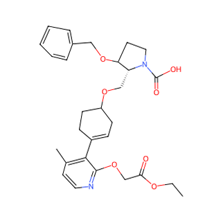 CCOC(=O)COc1nccc(C)c1C1=CCC(OC[C@@H]2C(OCc3ccccc3)CCN2C(=O)O)CC1